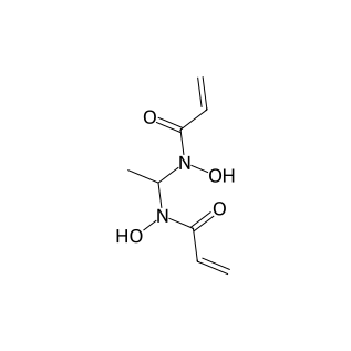 C=CC(=O)N(O)C(C)N(O)C(=O)C=C